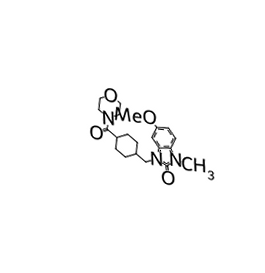 COc1ccc2c(c1)n(CC1CCC(C(=O)N3CCOCC3)CC1)c(=O)n2C